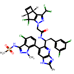 CC(C)c1nc2nc([C@H](Cc3cc(F)cc(F)c3)NC(=O)Cn3nc(C(F)F)c4c3C(F)(F)[C@@H]3C=C[C@H]43)c(-c3ccc(Cl)c4c(NS(C)(=O)=O)nn(C)c34)cc2[nH]1